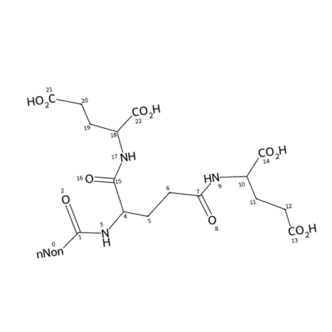 CCCCCCCCCC(=O)NC(CCC(=O)NC(CCC(=O)O)C(=O)O)C(=O)NC(CCC(=O)O)C(=O)O